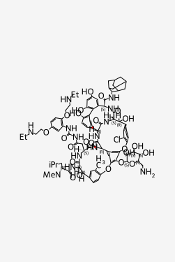 CCNCCOc1ccc(OCCNCC)c(NC(=O)NC(=O)C[C@@H]2NC(=O)[C@H](NC(=O)[C@@H](CC(C)C)NC)[C@H](O)c3ccc(c(C)c3)Oc3cc4cc(c3O[C@@H]3O[C@H](CN)[C@@H](O)[C@H](O)[C@H]3O)Oc3ccc(cc3Cl)[C@@H](O)[C@@H]3NC(=O)[C@H](NC(=O)[C@@H]4NC2=O)c2ccc(O)c(c2)-c2c(O)cc(O)cc2[C@@H](C(=O)NC2C4CC5CC(C4)CC2C5)NC3=O)c1